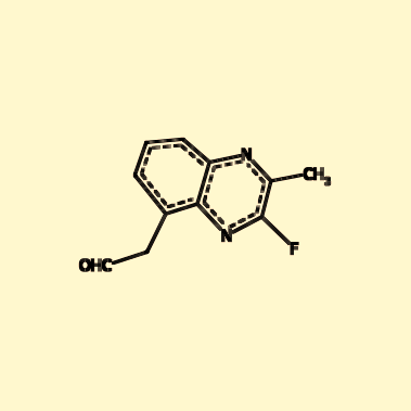 Cc1nc2cccc(CC=O)c2nc1F